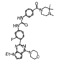 CCn1ccc2c(N3CCOCC3)nc(-c3ccc(NC(=O)Nc4ccc(C(=O)N5CCN(C)C(C)(C)C5)cc4)cc3F)nc21